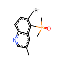 Cc1cnc2ccc(C(C)C)c(P(C)(C)=O)c2c1